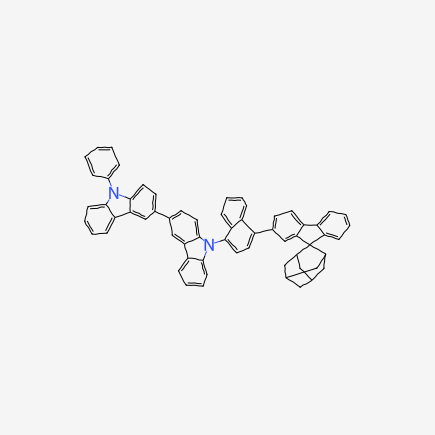 c1ccc(-n2c3ccccc3c3cc(-c4ccc5c(c4)c4ccccc4n5-c4ccc(-c5ccc6c(c5)C5(c7ccccc7-6)C6CC7CC(C6)CC5C7)c5ccccc45)ccc32)cc1